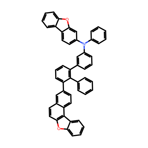 c1ccc(-c2c(-c3cccc(N(c4ccccc4)c4ccc5c(c4)oc4ccccc45)c3)cccc2-c2ccc3c(ccc4oc5ccccc5c43)c2)cc1